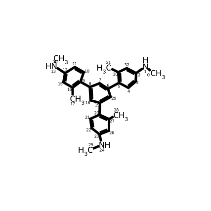 CNc1ccc(-c2cc(-c3ccc(NC)cc3C)cc(-c3ccc(NC)cc3C)c2)c(C)c1